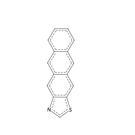 c1ccc2cc3cc4scnc4cc3cc2c1